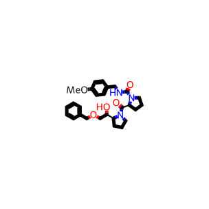 COc1ccc(CNC(=O)N2CCC[C@H]2C(=O)N2CCC[C@H]2C(O)COCc2ccccc2)cc1